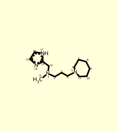 CN(CCCN1CCCCCC1)Cc1ncc[nH]1